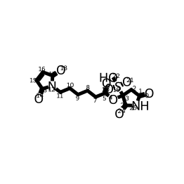 O=C1CC(OC(=O)CCCCCN2C(=O)C=CC2=O)(S(=O)(=O)O)C(=O)N1